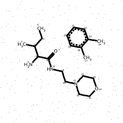 CCC(C)C(N)C(=O)NCCN1CCOCC1.Cc1ccccc1C